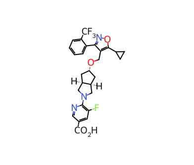 O=C(O)c1cnc(N2C[C@H]3C[C@H](OCc4c(-c5ccccc5C(F)(F)F)noc4C4CC4)C[C@H]3C2)c(F)c1